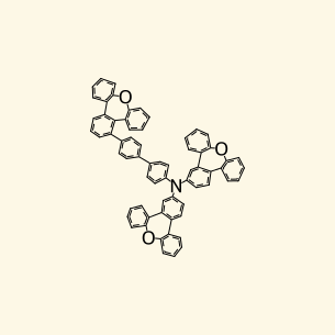 c1ccc2c(c1)Oc1ccccc1-c1cc(N(c3ccc(-c4ccc(-c5cccc6c5-c5ccccc5Oc5ccccc5-6)cc4)cc3)c3ccc4c(c3)-c3ccccc3Oc3ccccc3-4)ccc1-2